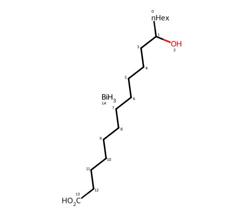 CCCCCCC(O)CCCCCCCCCCC(=O)O.[BiH3]